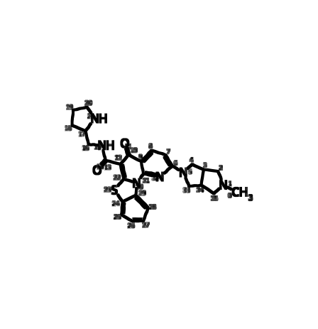 CN1CC2CN(c3ccc4c(=O)c(C(=O)NCC5CCCN5)c5sc6ccccc6n5c4n3)CC2C1